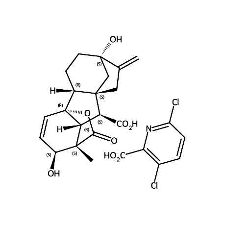 C=C1C[C@]23C[C@@]1(O)CC[C@H]2[C@@]12C=C[C@H](O)[C@@](C)(C(=O)O1)[C@H]2[C@@H]3C(=O)O.O=C(O)c1nc(Cl)ccc1Cl